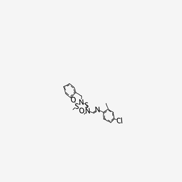 Cc1cc(Cl)ccc1/N=C/N(C)SN(Cc1ccccc1)S(C)(=O)=O